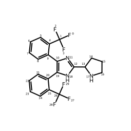 FC(F)(F)c1ccccc1-c1nc(C2CCCN2)[nH]c1-c1ccccc1C(F)(F)F